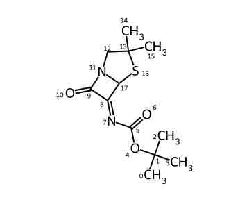 CC(C)(C)OC(=O)/N=C1/C(=O)N2CC(C)(C)SC12